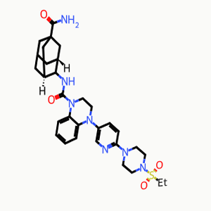 CCS(=O)(=O)N1CCN(c2ccc(N3CCN(C(=O)NC4[C@@H]5CC6C[C@H]4CC(C(N)=O)(C6)C5)c4ccccc43)cn2)CC1